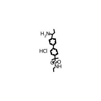 CCNS(=O)(=O)C(C)(C)c1ccc(-c2ccc(C(N)CC)cc2)cc1.Cl